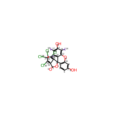 O=C1OC2(c3ccc(O)cc3Oc3c(I)c(O)c(I)c(I)c32)c2c(Cl)c(Cl)c(Cl)c(Cl)c21